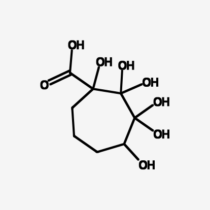 O=C(O)C1(O)CCCC(O)C(O)(O)C1(O)O